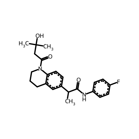 CC(C(=O)Nc1ccc(F)cc1)c1ccc2c(c1)CCCN2C(=O)CC(C)(C)O